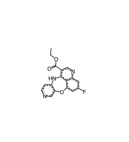 CCOC(=O)c1cnc2cc(F)cc3c2c1Nc1ccncc1O3